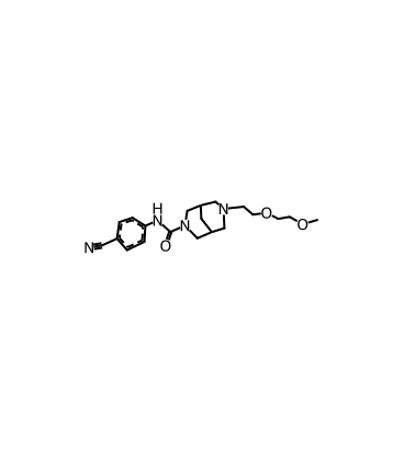 COCCOCCN1CC2CC(C1)CN(C(=O)Nc1ccc(C#N)cc1)C2